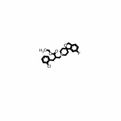 CCOC(=O)C(Cc1ccccc1Cl)CN1CCC2(CC1)OCc1ccc(F)cc12